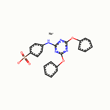 O=S(=O)([O-])c1ccc(Nc2nc(Oc3ccccc3)nc(Oc3ccccc3)n2)cc1.[Na+]